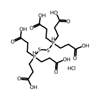 Cl.O=C(O)CC[PH](CCC(=O)O)(CCC(=O)O)SS[PH](CCC(=O)O)(CCC(=O)O)CCC(=O)O